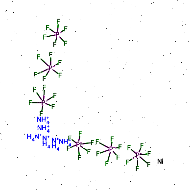 F[P-](F)(F)(F)(F)F.F[P-](F)(F)(F)(F)F.F[P-](F)(F)(F)(F)F.F[P-](F)(F)(F)(F)F.F[P-](F)(F)(F)(F)F.F[P-](F)(F)(F)(F)F.[NH4+].[NH4+].[NH4+].[NH4+].[NH4+].[NH4+].[Ni]